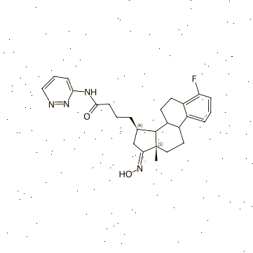 C[C@]12CCC3c4cccc(F)c4CCC3C1[C@H](CCCC(=O)Nc1cccnn1)C/C2=N\O